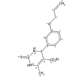 C=CCOc1cccc(C2NC(=S)NC(C)=C2C(=O)OCC)c1